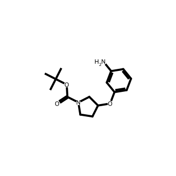 CC(C)(C)OC(=O)N1CCC(Oc2cccc(N)c2)C1